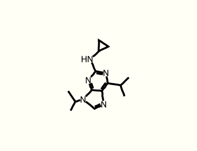 CC(C)c1nc(NC2CC2)nc2c1ncn2C(C)C